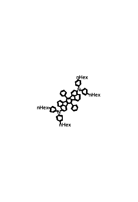 CCCCCCc1ccc(N(c2ccc(CCCCCC)cc2)c2ccc3c4c(-c5ccccc5)c5c6cccc7c(N(c8ccc(CCCCCC)cc8)c8ccc(CCCCCC)cc8)ccc(c5c(-c5ccccc5)c4c4cccc2c43)c76)cc1